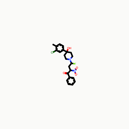 Cc1ccc(C2(O)CCN(C(F)CC(C(=O)c3ccccc3)[N+](=O)[O-])CC2)cc1Cl